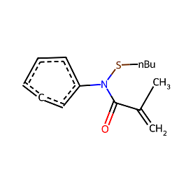 C=C(C)C(=O)N(SCCCC)c1ccccc1